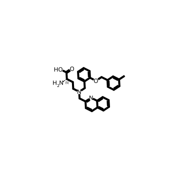 Cc1cccc(COc2ccccc2CN(CC[C@H](N)C(=O)O)Cc2ccc3ccccc3n2)c1